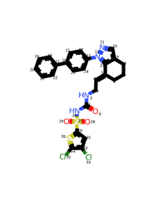 O=C(NCC=C1CCCc2cnn(-c3ccc(-c4ccccc4)cc3)c21)NS(=O)(=O)c1cc(Cl)c(Cl)s1